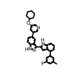 Cc1cc(F)cc(-c2cccc3[nH]c(-c4n[nH]c5ccc(-c6cncc(OC7CCCCC7)c6)cc45)cc23)c1